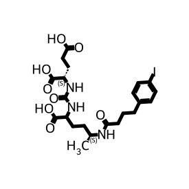 C[C@@H](CCC(NC(=O)N[C@@H](CCC(=O)O)C(=O)O)C(=O)O)NC(=O)CCCc1ccc(I)cc1